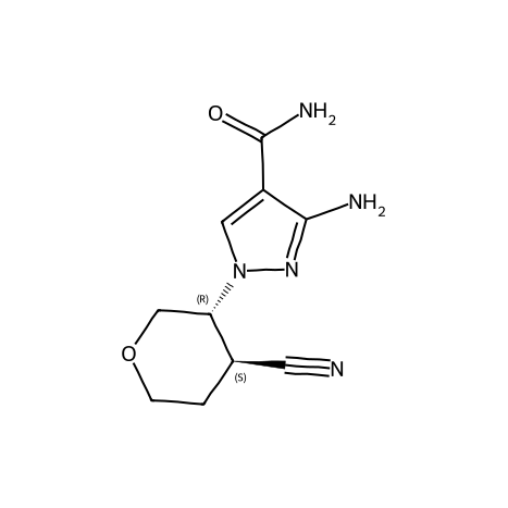 N#C[C@H]1CCOC[C@@H]1n1cc(C(N)=O)c(N)n1